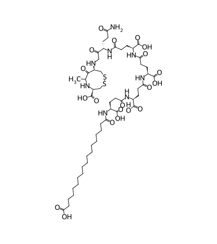 CC1N[C@H](C(=O)O)CSSC[C@H](NCC(=O)[C@H](CCC(N)=O)NC(=O)CC[C@H](NC(=O)CC[C@H](NC(=O)CC[C@H](NC(=O)CC[C@H](NC(=O)CCCCCCCCCCCCCCCCC(=O)O)C(=O)O)C(=O)O)C(=O)O)C(=O)O)C1=O